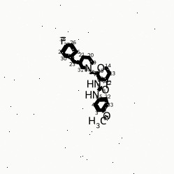 COc1ccc(NC(=O)N[C@@H]2[C@@H](F)CCO[C@@H]2CN2CCCC(Cc3ccc(F)cc3)C2)cc1